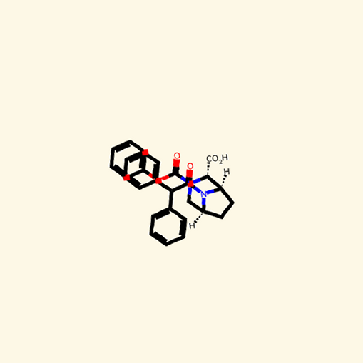 O=C(O)[C@@H]1[C@H]2CC[C@@H](CN1C(=O)Oc1ccccc1)N2C(=O)C(c1ccccc1)c1ccccc1